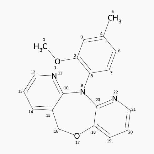 COc1cc(C)ccc1N1c2ncccc2COc2cccnc21